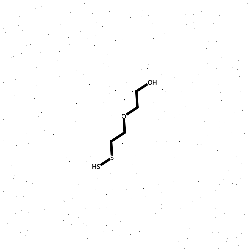 OCCOCCSS